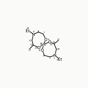 CCN1CC[O][Sn]2([O]CCN(CC)CC(C)[O]2)[O]C(C)C1